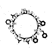 CC(C)C[C@@H]1NC(=O)[C@H](C)N(C)C(=O)C[C@@H](C(=O)N2CCCCC2)NC(=O)[C@H](CC(C)C)N(C)C(=O)CN(C)C(=O)[C@H]([C@@H](C)O)NC(=O)[C@H](C)N(C)C(=O)[C@H](Cc2ccccc2)N(C)C(=O)[C@H](COCc2ccccc2)NC(=O)[C@H](Cc2ccccc2)N(C)C(=O)[C@H](CC(C)C)N(C)C1=O